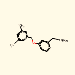 COCc1cccc(OCc2cc(C)cc(C(F)(F)F)c2)c1